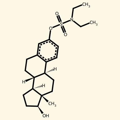 CCN(CC)S(=O)(=O)Oc1ccc2c(c1)CC[C@@H]1[C@@H]2CC[C@]2(C)[C@@H](O)CC[C@@H]12